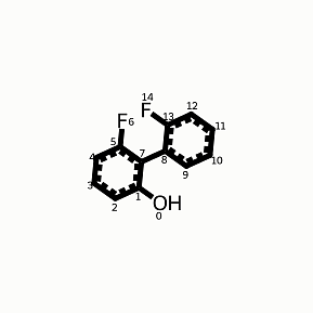 Oc1cccc(F)c1-c1ccccc1F